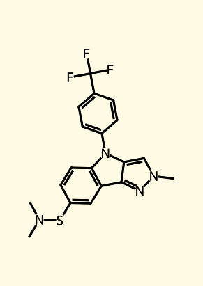 CN(C)Sc1ccc2c(c1)c1nn(C)cc1n2-c1ccc(C(F)(F)F)cc1